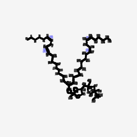 CCCCC/C=C\C/C=C\CCCCCCCCC(CCCCCCCC/C=C\C/C=C\CCCCC)OC1(C)OCC(CC(C)(C)CC(C)(C)N(C)C)O1